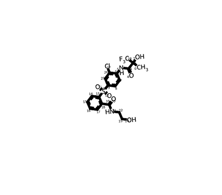 CC(O)(C(=O)Nc1ccc(S(=O)(=O)c2ccccc2C(=O)NCCO)cc1Cl)C(F)(F)F